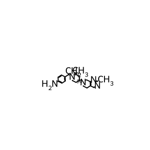 C=C(c1ccc(N)cc1)N1CC[C@@H](N2CCc3cnc(C)nc3C2)C[C@H]1C